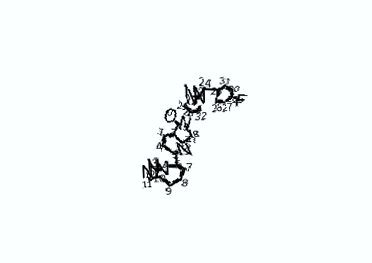 O=C1c2ccc(-c3cccc4cnnn34)nc2CCN1c1cnn(Cc2ccc(F)cc2)c1